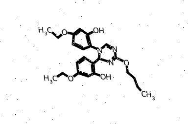 CCCCOC1=NC(c2ccc(OCC)cc2O)N(c2ccc(OCC)cc2O)C=N1